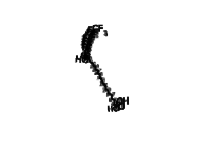 O=P(O)(O)CCCCCCCCCCCCCCCCCCCCP(=O)(O)OCC(F)(F)C(F)(F)C(F)(F)C(F)(F)C(F)(F)C(F)(F)C(F)(F)C(F)(F)F